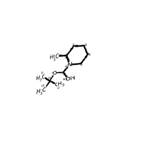 CC1CCCCN1C(O)OC(C)(C)C